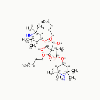 CCCCCCCCCCCCCOC(=O)C(C(=O)OCCCCCCCCCCCCC)(C(=O)OC1CC(C)(C)NC(C)(C)C1)C(CC)C(=O)OC1CC(C)(C)NC(C)(C)C1